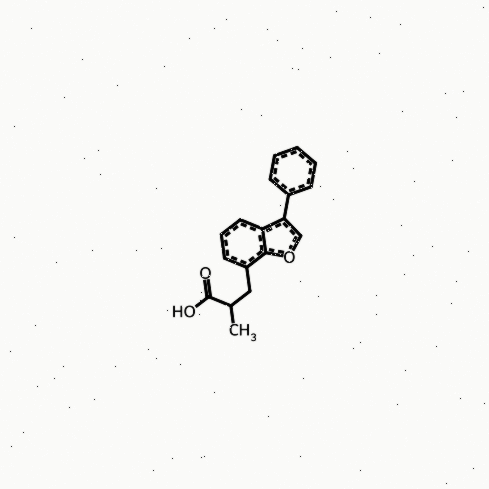 CC(Cc1cccc2c(-c3ccccc3)coc12)C(=O)O